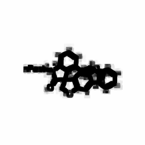 CCCCCN1C(=O)C2(COc3cc4c(cc32)OCO4)c2c(/C=C/c3ccccc3)cccc21